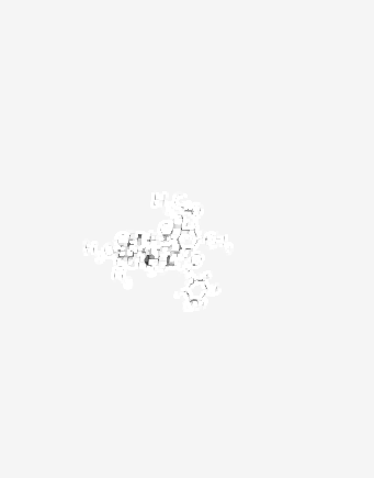 CC(=O)Oc1cc(C)c(OCc2ccccc2)c(C)c1C(C)(C)CC(O)[Si](C)(C)C(C)(C)C